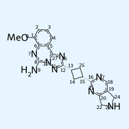 COc1cccc2c1nc(N)n1nc([C@H]3C[C@@H](c4ncc5c(n4)CNC5)C3)nc21